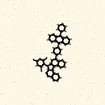 Cc1cc(C)c(-n2c3ccc4ccccc4c3c3c4ccccc4c(-c4ccc(-c5c6ccccc6c(-c6ccccc6)c6ccccc56)cc4)cc32)c(C)c1